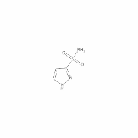 NS(=O)(=O)c1cc[nH]n1